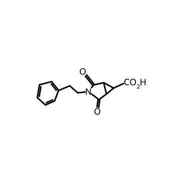 O=C(O)C1C2C(=O)N(CCc3ccccc3)C(=O)C12